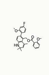 COc1ccccc1C(=O)OCc1c(-c2ccc(F)cc2OC)ccc2c1C(C)=CC(C)(C)N2